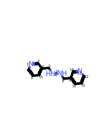 c1cncc(CNNCc2cccnc2)c1